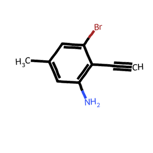 C#Cc1c(N)cc(C)cc1Br